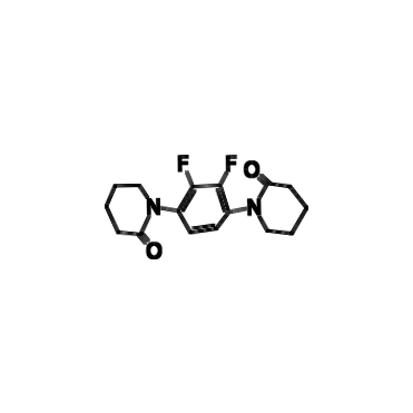 O=C1CCCCN1c1ccc(N2CCCCC2=O)c(F)c1F